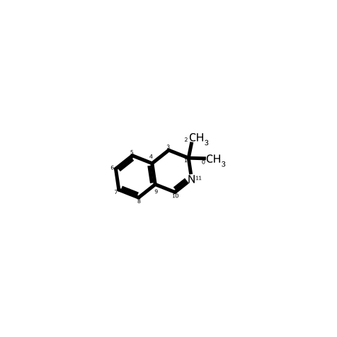 CC1(C)Cc2[c]cccc2C=N1